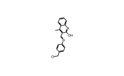 Cc1c(/C=N/c2ccc(CCl)cc2)c(O)nc2ccccc12